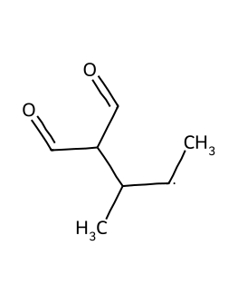 C[CH]C(C)C(C=O)C=O